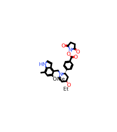 CCO[C@H]1CCN(Cc2c(OC)cc(C)c3[nH]ccc23)[C@H](c2ccc(C(=O)ON3C(=O)CCC3=O)cc2)C1